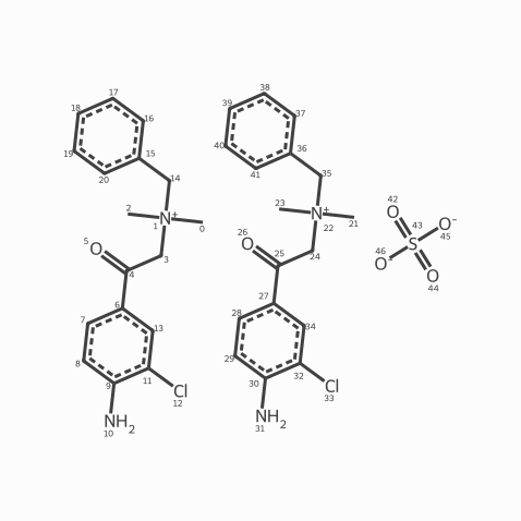 C[N+](C)(CC(=O)c1ccc(N)c(Cl)c1)Cc1ccccc1.C[N+](C)(CC(=O)c1ccc(N)c(Cl)c1)Cc1ccccc1.O=S(=O)([O-])[O-]